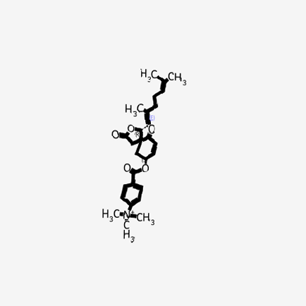 CC(C)=CCC/C(C)=C/[C@H]1OC(=O)CC12C[C@H](OC(=O)c1ccc([N+](C)(C)C)cc1)C=CC2=O